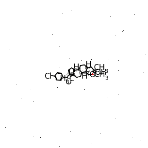 COC[C@]12CC[C@@](C)(O)C[C@@H]1CC[C@H]1[C@@H]3CC[C@H](C(=O)c4ccc(Cl)cc4)[C@@]3(C)CC[C@@H]12